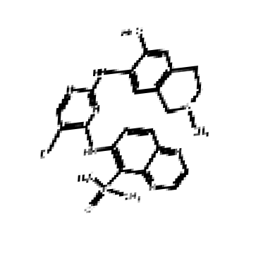 COc1cc2c(cc1Nc1ncc(Br)c(Nc3ccc4nccnc4c3P(C)(C)=O)n1)CN(C)CC2